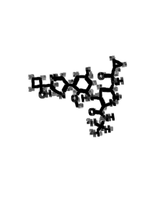 [2H]C([2H])([2H])NC(=O)c1nnc(NC(=O)C2CC2)cc1Nc1cc(F)cc(-c2cnc(C3(O)CCC3)cn2)c1OC